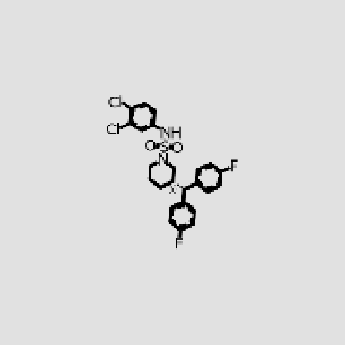 O=S(=O)(Nc1ccc(Cl)c(Cl)c1)N1CCC[C@@H](C(c2ccc(F)cc2)c2ccc(F)cc2)C1